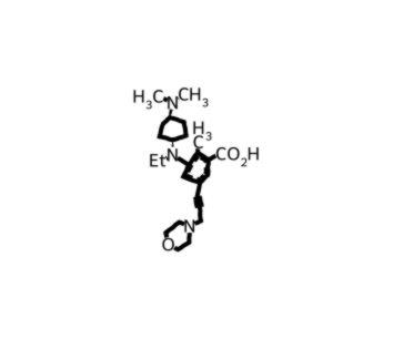 CCN(c1cc(C#CCN2CCOCC2)cc(C(=O)O)c1C)[C@H]1CC[C@H](N(C)C)CC1